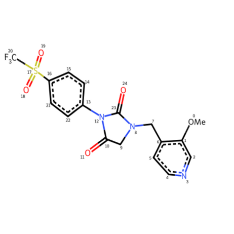 COc1cnccc1CN1CC(=O)N(c2ccc(S(=O)(=O)C(F)(F)F)cc2)C1=O